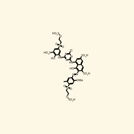 COc1cc(S(=O)(=O)CCOS(=O)(=O)O)c(C)cc1/N=N/c1c(S(=O)(=O)O)cc2cc(S(=O)(=O)O)cc(Nc3nc(Cl)nc(Nc4cc(S(=O)(=O)CCOS(=O)(=O)O)cc(S(=O)(=O)O)c4O)n3)c2c1O